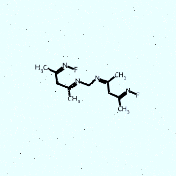 CC(CC(C)=NCN=C(C)CC(C)=NF)=NF